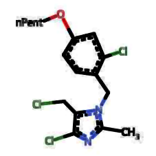 CCCCCOc1ccc(Cn2c(C)nc(Cl)c2CCl)c(Cl)c1